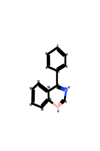 b1cnc(-c2ccccc2)c2ccccc12